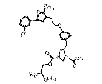 Cc1oc(-c2cccc(Cl)c2)nc1CCOc1ccc(C[C@@H]2CN(C(=O)OCC(C)C)C[C@@H]2C(=O)O)cc1